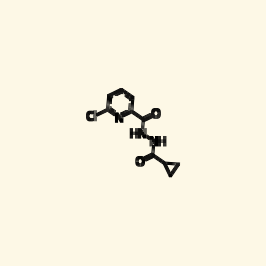 O=C(NNC(=O)C1CC1)c1cccc(Cl)n1